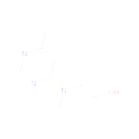 Cc1cc(N(C)CCO)ncn1